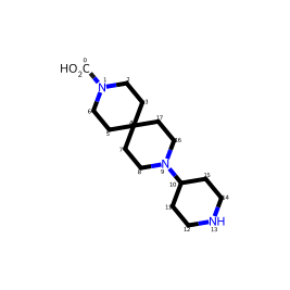 O=C(O)N1CCC2(CC1)CCN(C1CCNCC1)CC2